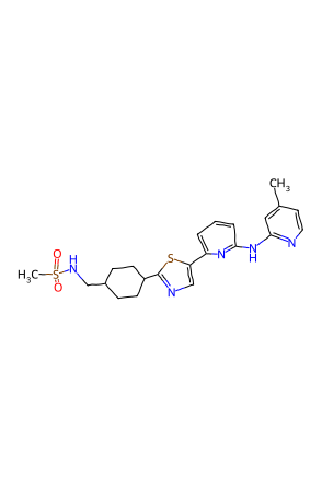 Cc1ccnc(Nc2cccc(-c3cnc(C4CCC(CNS(C)(=O)=O)CC4)s3)n2)c1